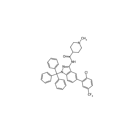 CN1CCC(C(=O)Nc2nn(C(c3ccccc3)(c3ccccc3)c3ccccc3)c3ccc(-c4cc(C(F)(F)F)ccc4Cl)cc23)CC1